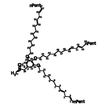 CCCCCC=CCC=CCCCCCCCCOc1cc(CN(C)C)cc(OCCCCCCCCC=CCC=CCCCCC)c1OCCCCCCCCC=CCC=CCCCCC